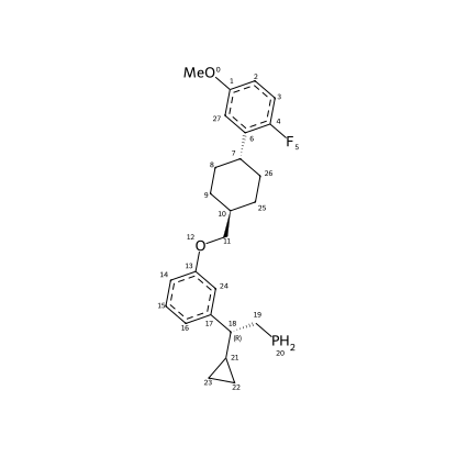 COc1ccc(F)c([C@H]2CC[C@H](COc3cccc([C@H](CP)C4CC4)c3)CC2)c1